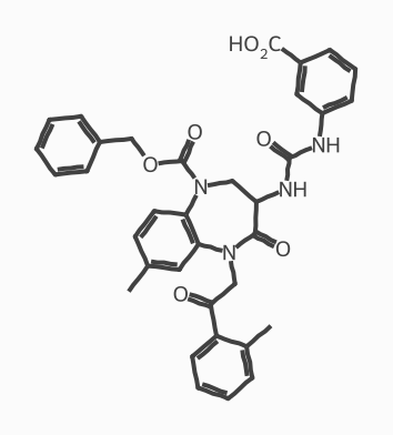 Cc1ccc2c(c1)N(CC(=O)c1ccccc1C)C(=O)C(NC(=O)Nc1cccc(C(=O)O)c1)CN2C(=O)OCc1ccccc1